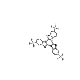 FC(F)(F)c1ccc2c(c1)nc1n2c2nc3cc(C(F)(F)F)ccc3n2c2nc3cc(C(F)(F)F)ccc3n12